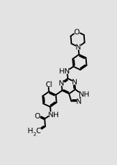 C=CC(=O)Nc1ccc(Cl)c(-c2nc(Nc3cccc(N4CCOCC4)c3)nc3[nH]ncc23)c1